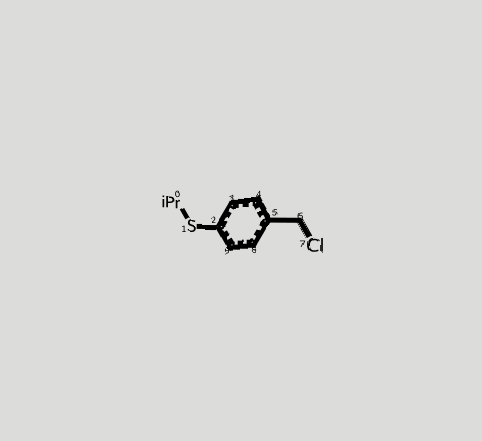 CC(C)Sc1ccc(CCl)cc1